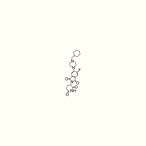 O=C1CCC(N2C(=O)c3cc(F)c(N4CCN(C[C]5CCCCC5)CC4)cc3C2=O)C(=O)N1